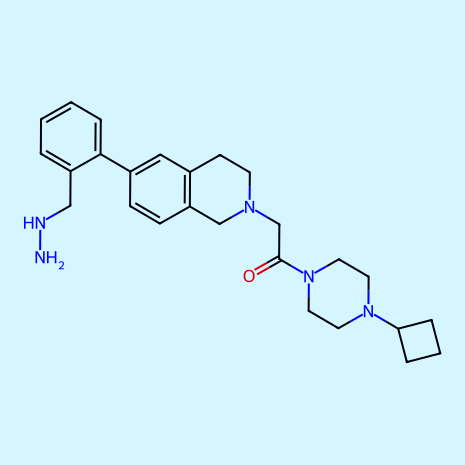 NNCc1ccccc1-c1ccc2c(c1)CCN(CC(=O)N1CCN(C3CCC3)CC1)C2